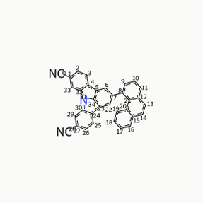 N#Cc1ccc2c3cc(-c4cccc5ccc6ccccc6c45)cc4c5ccc(C#N)cc5n(c2c1)c34